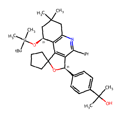 CC(C)c1nc2c(c3c1[C@@H](c1ccc(C(C)(C)O)cc1)OC31CCCC1)[C@@H](O[Si](C)(C)C(C)(C)C)CC(C)(C)C2